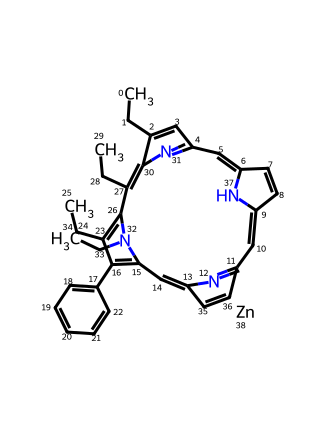 CCC1=Cc2cc3ccc(cc4nc(cc5c(-c6ccccc6)c(CC)c(c(CC)c1n2)n5CC)C=C4)[nH]3.[Zn]